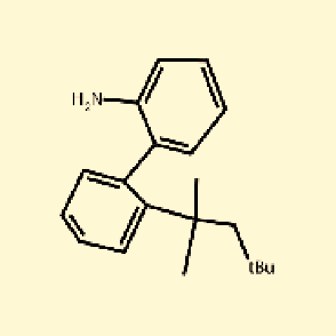 CC(C)(C)CC(C)(C)c1ccccc1-c1ccccc1N